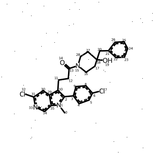 Cn1c(-c2ccc(Cl)cc2)c(CCC(=O)N2CCC(O)(Cc3ccccc3)CC2)c2cc(Cl)ncc21